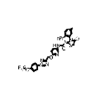 CCCc1ccc(C)cc1N1C(=O)CSC1=NC(=O)Nc1ccc(OCc2ncn(-c3ccc(OC(F)(F)F)cc3)n2)nc1